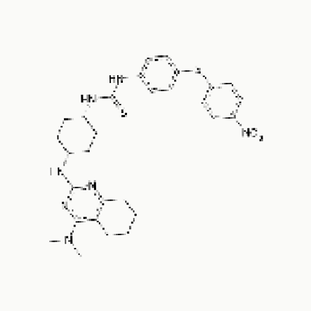 CN(C)c1nc(N[C@H]2CC[C@@H](NC(=S)Nc3ccc(Sc4ccc([N+](=O)[O-])cc4)cc3)CC2)nc2c1CCCC2